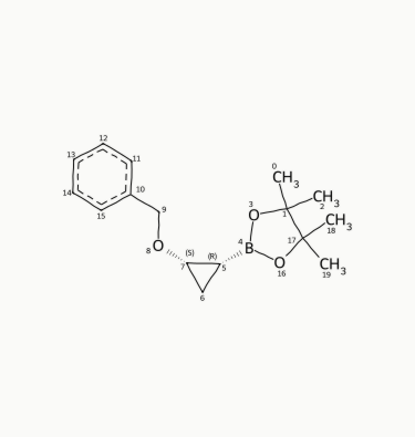 CC1(C)OB([C@@H]2C[C@@H]2OCc2ccccc2)OC1(C)C